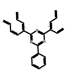 C=C/C=C\C(=C/C=C)c1nc(/C(C=C)=C/C=C)nc(-c2ccccc2)n1